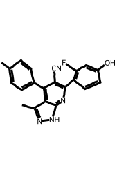 Cc1ccc(-c2c(C#N)c(-c3ccc(O)cc3F)nc3[nH]nc(C)c23)cc1